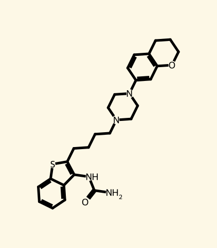 NC(=O)Nc1c(CCCCN2CCN(c3ccc4c(c3)OCCC4)CC2)sc2ccccc12